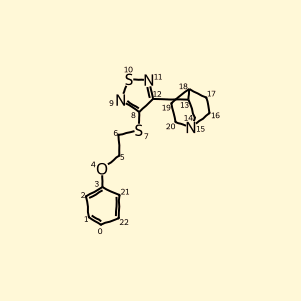 c1ccc(OCCSc2nsnc2C2CN3CCC2CC3)cc1